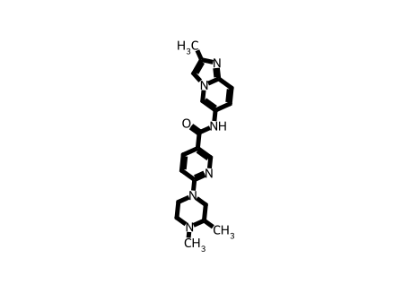 Cc1cn2cc(NC(=O)c3ccc(N4CCN(C)C(C)C4)nc3)ccc2n1